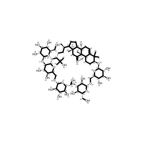 C[C@H](CC[C@@H](O[C@@H]1OC(CO[C@@H]2O[C@H](CO)[C@@H](O)[C@H](O)[C@H]2O)[C@@H](O)[C@H](O)[C@H]1O[C@@H]1O[C@H](CO)[C@@H](O)[C@H](O)[C@H]1O)C(C)(C)O)C1CC[C@@]2(C)[C@H]3CC=C4[C@@H](CC[C@H](O[C@@H]5O[C@H](CO[C@@H]6O[C@H](CO)[C@@H](O)[C@H](O)[C@H]6O)[C@@H](O)[C@H](O)[C@H]5O)C4(C)C)[C@]3(C)C(=O)C[C@]12C